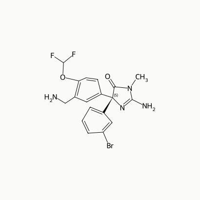 CN1C(=O)[C@@](c2cccc(Br)c2)(c2ccc(OC(F)F)c(CN)c2)N=C1N